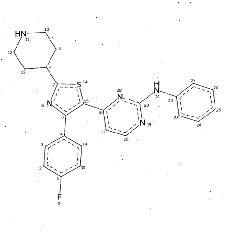 Fc1ccc(-c2nc(C3CCNCC3)sc2-c2ccnc(Nc3ccccc3)n2)cc1